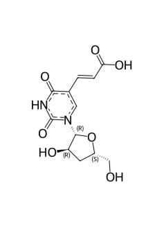 O=C(O)C=Cc1cn([C@@H]2O[C@H](CO)C[C@H]2O)c(=O)[nH]c1=O